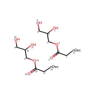 CCCCCCCCCCCC(=O)OCC(O)CO.CCCCCCCCCCCC(=O)OCC(O)CO